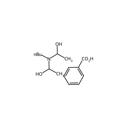 CCCCN(C(C)O)C(C)O.O=C(O)c1ccccc1